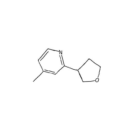 Cc1ccnc(C2CCOC2)c1